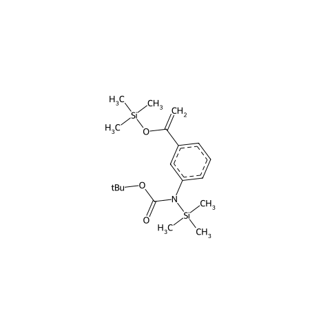 C=C(O[Si](C)(C)C)c1cccc(N(C(=O)OC(C)(C)C)[Si](C)(C)C)c1